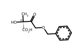 C[C@@](O)(C(=O)O)C(=O)COCc1ccccc1